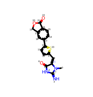 CN1C(=N)NC(=O)/C1=C\c1ccc(-c2ccc3c(c2)COC3=O)s1